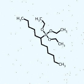 CCCCCCC(CCCCC)[Si](OCC)(OCC)OCC